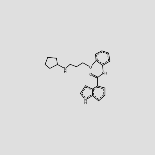 O=C(Nc1ccccc1OCCCNC1CCCC1)c1cccc2[nH]ccc12